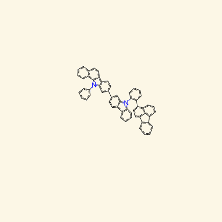 c1ccc(-n2c3cc(-c4ccc5c6ccccc6n(-c6ccccc6-c6ccc7c8c(cccc68)-c6ccccc6-7)c5c4)ccc3c3ccc4ccccc4c32)cc1